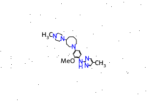 COc1cc(N2CCCCC(N3CCN(C)CC3)CC2)ccc1Nc1ncc(C)cn1